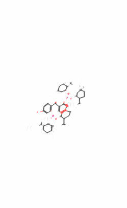 COc1ccc(C(=O)c2ccccc2OP(O[C@@H]2C[C@H](C)CCC2C(C)C)O[C@@H]2C[C@H](C)CC[C@H]2C(C)C)c(OP(O[C@@H]2C[C@H](C)CCC2C(C)C)O[C@@H]2C[C@H](C)CC[C@H]2C(C)C)c1